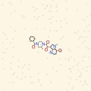 COc1ccnc2c(C(=O)C(=O)N3CCN(C(=O)c4ccccc4)CC3C)cn(C)c12